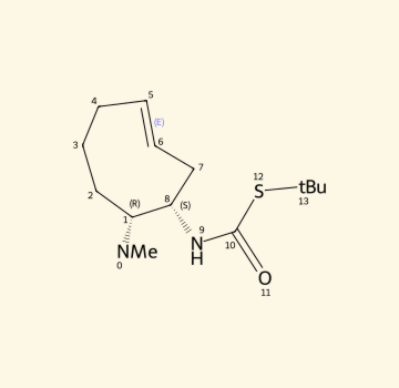 CN[C@@H]1CCC/C=C/C[C@@H]1NC(=O)SC(C)(C)C